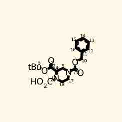 CC(C)(C)OC(=O)C1CN(C(=O)OCc2ccccc2)CCN1C(=O)O